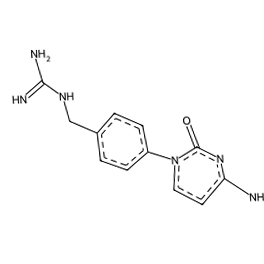 N=C(N)NCc1ccc(-n2ccc(N)nc2=O)cc1